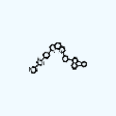 c1cncc(-c2cnc(-c3ccc(-c4ccc5ccc6ccc(-c7cccc(-c8ccc9c%10c(cccc8%10)-c8ccccc8-9)c7)nc6c5n4)cc3)nc2)c1